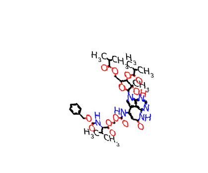 CC(C)C(=O)OCC1OC(n2cc3c4c(ncnc42)NC(=O)C=C3NC(=O)OCOC(=O)C(NC(=O)OCc2ccccc2)C(C)C)C(C)(O)C1OC(=O)C(C)C